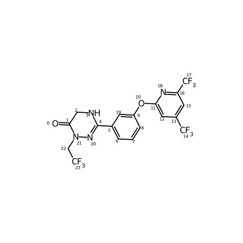 O=C1CNC(c2cccc(Oc3cc(C(F)(F)F)cc(C(F)(F)F)n3)c2)=NN1CC(F)(F)F